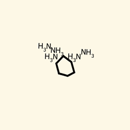 C1CCCCC1.N.N.N.N.N